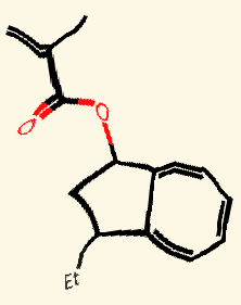 C=C(C)C(=O)OC1CC(CC)c2ccccc21